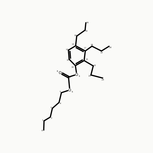 CCCCCCOC(=O)Oc1ccc(CCC)c(CCC)c1CCC